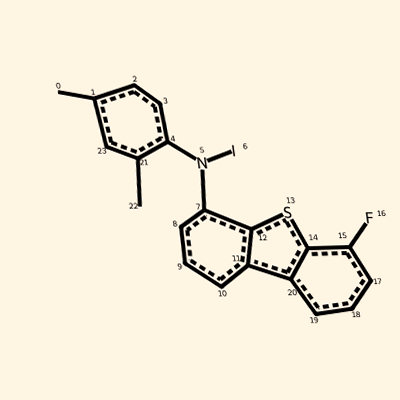 Cc1ccc(N(I)c2cccc3c2sc2c(F)cccc23)c(C)c1